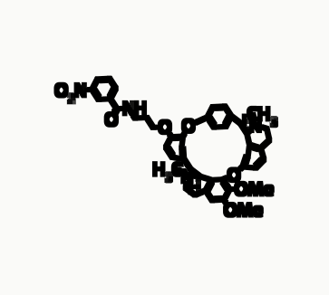 COc1cc2c3c(c1OC)Oc1ccc4c(c1)[C@H](Cc1ccc(cc1)Oc1cc(ccc1OCCCNC(=O)c1cccc([N+](=O)[O-])c1)C[C@H]3N(C)CC2)N(C)CC4